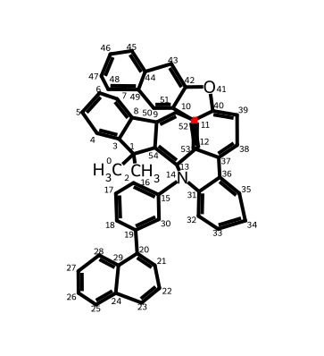 CC1(C)c2ccccc2-c2cccc(N(c3cccc(-c4cccc5ccccc45)c3)c3ccccc3-c3ccc4oc5cc6ccccc6cc5c4c3)c21